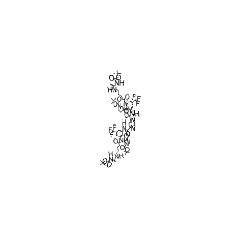 C=C(NCCCCC(=O)Nc1cc(C(F)(F)F)cc(NC(=O)c2cc(C(=O)Nc3cc(C(F)(F)F)cc(NC(=O)CCCCNC(=C)NC(=O)OC(C)(C)C)c3O[C@@H]3CCN(C(=O)OC(C)(C)C)C3)ncn2)c1O[C@@H]1CCN(C(=O)OC(C)(C)C)C1)NC(=O)OC(C)(C)C